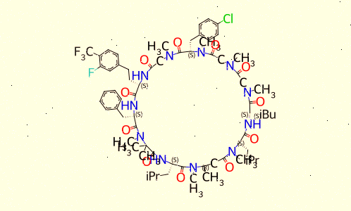 CC[C@H](C)[C@@H]1NC(=O)[C@H](CC(C)C)N(C)C(=O)C[C@@H](C)N(C)C(=O)[C@H](CC(C)C)NC(=O)C(C)(C)N(C)C(=O)[C@H](Cc2ccccc2)NC(=O)[C@H](CCc2ccc(C(F)(F)F)c(F)c2)NC(=O)CN(C)C(=O)[C@H](Cc2ccc(Cl)cc2)N(C)C(=O)CN(C)C(=O)CN(C)C1=O